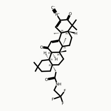 [C-]#[N+]C1=C[C@]2(C)C3=CC(=O)[C@@H]4[C@@H]5CC(C)(C)CC[C@]5(CC(=O)NCC(F)(F)F)CC[C@@]4(C)[C@]3(C)CC[C@H]2C(C)(C)C1=O